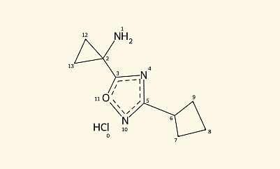 Cl.NC1(c2nc(C3CCC3)no2)CC1